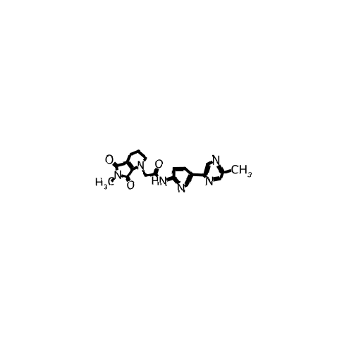 Cc1cnc(-c2ccc(NC(=O)CN3CCCC4=C3C(=O)N(C)C4=O)nc2)cn1